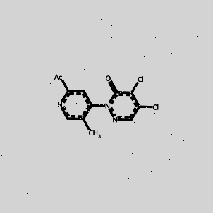 CC(=O)c1cc(-n2ncc(Cl)c(Cl)c2=O)c(C)cn1